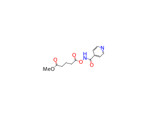 COC(=O)CCCC(=O)ONC(=O)c1ccncc1